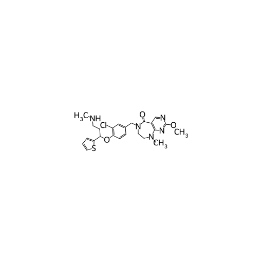 CNCCC(Oc1ccc(CN2CCN(C)c3nc(OC)ncc3C2=O)cc1Cl)c1cccs1